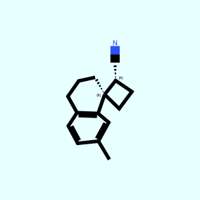 Cc1ccc2c(c1)[C@]1(CCC2)CC[C@H]1C#N